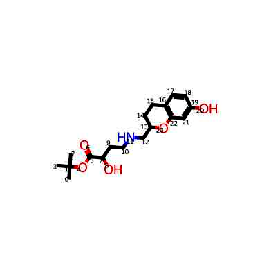 CC(C)(C)OC(=O)C(O)CCNCC1CCc2ccc(O)cc2O1